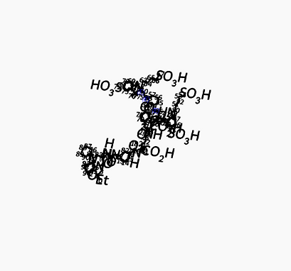 CCC(=O)CN1C(=O)[C@H](NC(=O)Nc2cccc(C(=O)N[C@H](CCC(=O)N[C@@H](Cc3ccc(OC4=C(/C=C/C(=O)C(C)(C)c5cc(S(=O)(=O)O)ccc5NCCCCS(=O)(=O)O)CCC/C4=C\C=C4\N(CCCCS(=O)(=O)O)c5ccc(S(=O)(=O)O)cc5C4(C)C)cc3)C(=O)O)C(=O)O)c2)CN(C2CCCCC2)c2ccccc21